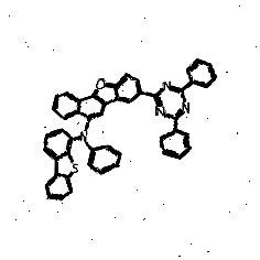 c1ccc(-c2nc(-c3ccccc3)nc(-c3ccc4oc5c6ccccc6c(N(c6ccccc6)c6cccc7c6sc6ccccc67)cc5c4c3)n2)cc1